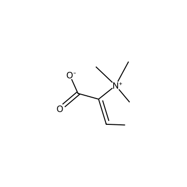 CC=C(C(=O)[O-])[N+](C)(C)C